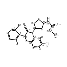 Cc1cccc(F)c1N1Cc2cnc(Cl)nc2N(C2CCC(NC(=O)OC(C)(C)C)C2)C1=O